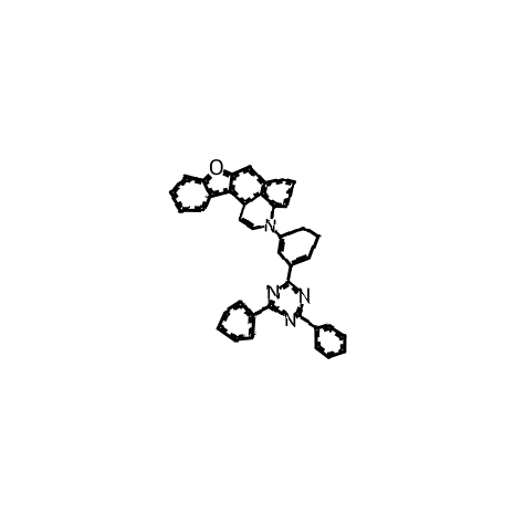 C1=CN(C2=CC(c3nc(-c4ccccc4)nc(-c4ccccc4)n3)=CCC2)c2cccc3cc4oc5ccccc5c4c1c23